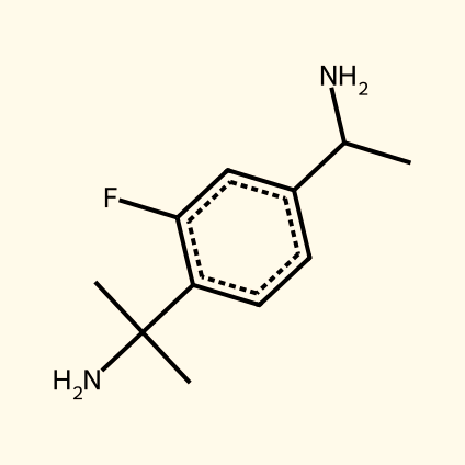 CC(N)c1ccc(C(C)(C)N)c(F)c1